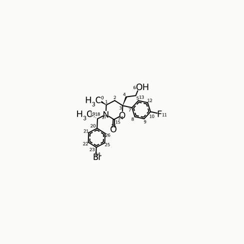 C[C@H]1C[C@](CCO)(c2ccc(F)cc2)OC(=O)N1[C@@H](C)c1ccc(Br)cc1